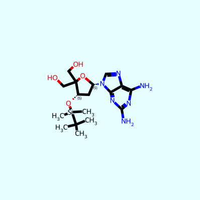 CC(C)(C)[Si](C)(C)O[C@H]1C[C@@H](n2cnc3c(N)nc(N)nc32)OC1(CO)CO